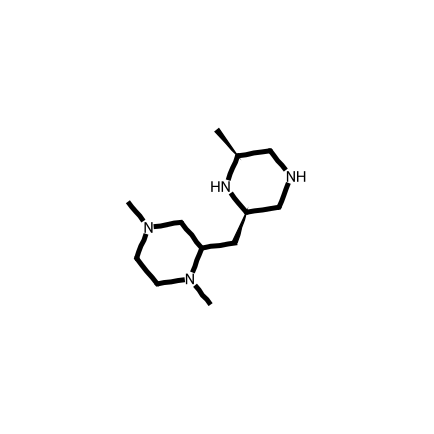 C[C@H]1CNC[C@@H](CC2CN(C)CCN2C)N1